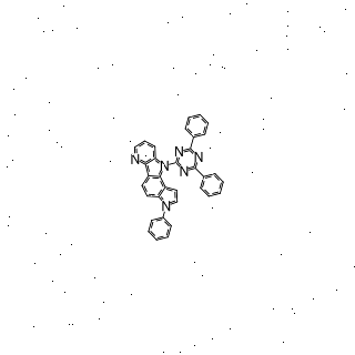 c1ccc(-c2nc(-c3ccccc3)nc(-n3c4cccnc4c4ccc5c(ccn5-c5ccccc5)c43)n2)cc1